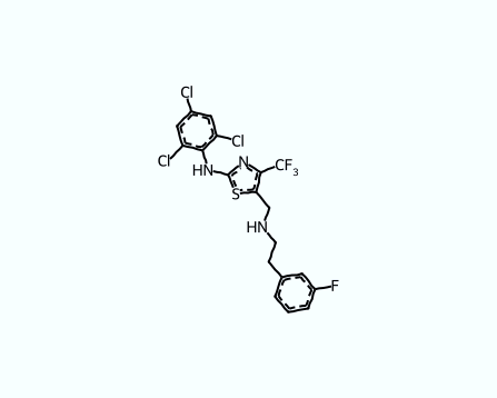 Fc1cccc(CCNCc2sc(Nc3c(Cl)cc(Cl)cc3Cl)nc2C(F)(F)F)c1